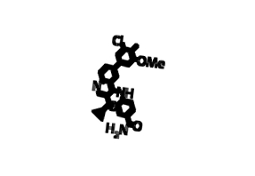 COc1cc(-c2ccc3ncc(C(=O)C4CC4)c(Nc4ccc(C(N)=O)cc4)c3c2)cc(Cl)c1C